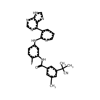 Cc1cc(C(=O)Nc2cc(Nc3ncccc3-c3ncnc4[nH]cnc34)ccc2F)cc(C(C)(C)C#N)c1